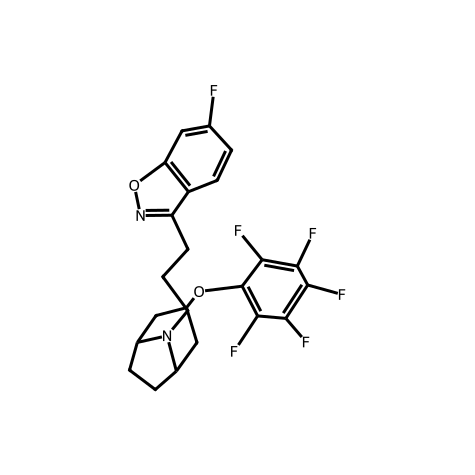 Fc1ccc2c(CCCN3C4CCC3CC(Oc3c(F)c(F)c(F)c(F)c3F)C4)noc2c1